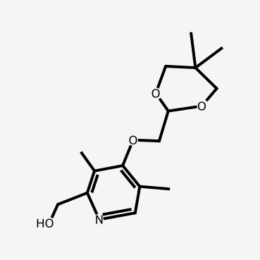 Cc1cnc(CO)c(C)c1OCC1OCC(C)(C)CO1